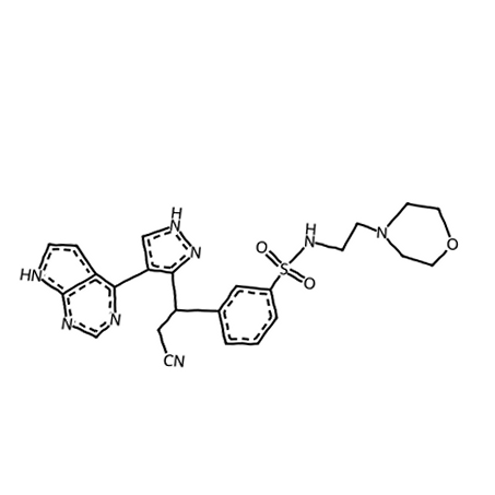 N#CCC(c1cccc(S(=O)(=O)NCCN2CCOCC2)c1)c1n[nH]cc1-c1ncnc2[nH]ccc12